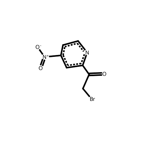 O=C(CBr)c1cc([N+](=O)[O-])ccn1